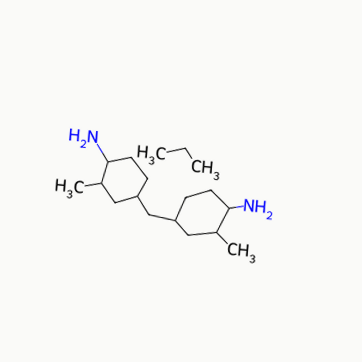 CC1CC(CC2CCC(N)C(C)C2)CCC1N.CCC